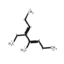 CC/[C]=C(\CC)C(C)=CCC